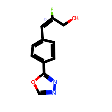 OC/C(F)=C\c1ccc(-c2nnco2)cc1